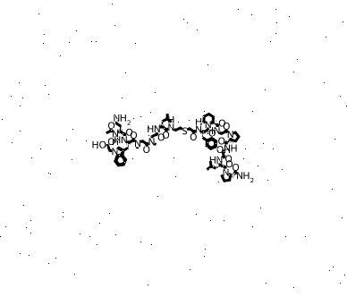 CC(=O)N[C@@H](CCN)C(=O)N[C@@H](Cc1cn(CC(=O)O)c2ccccc12)C(=O)N(C)CC(=O)N(C)CC(=O)N[C@@H](CC(C)C)C(=O)NCCSCC(=O)N[C@@H](Cc1ccc(O)cc1)C(=O)N1CCCC[C@H]1C(=O)NCC(=O)N1CCC[C@H]1C(=O)NCC(=O)N[C@@H](CC(C)C)C(=O)N1CCC[C@H]1C(N)=O